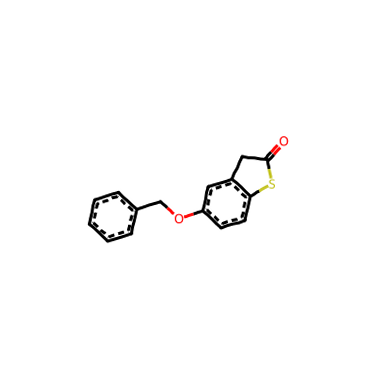 O=C1Cc2cc(OCc3ccccc3)ccc2S1